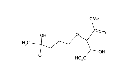 COC(=O)C(OCCCC(C)(O)O)C(O)C(=O)O